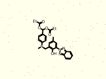 CCC(=O)OC(OC(=O)CC)c1ccc(N(C)Cc2cc(C)cc(-n3nc4ccccc4n3)c2O)cc1